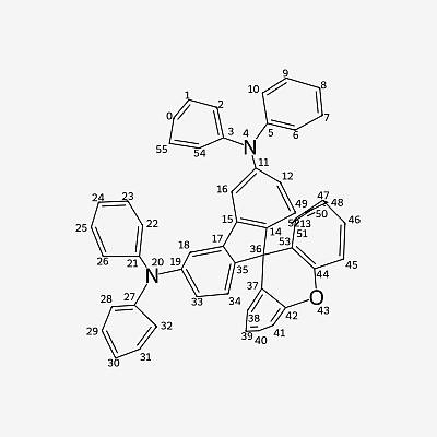 c1ccc(N(c2ccccc2)c2ccc3c(c2)-c2cc(N(c4ccccc4)c4ccccc4)ccc2C32c3ccccc3Oc3ccc4ccccc4c32)cc1